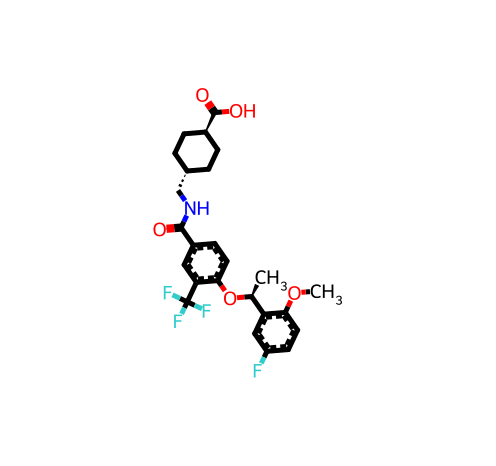 COc1ccc(F)cc1[C@H](C)Oc1ccc(C(=O)NC[C@H]2CC[C@H](C(=O)O)CC2)cc1C(F)(F)F